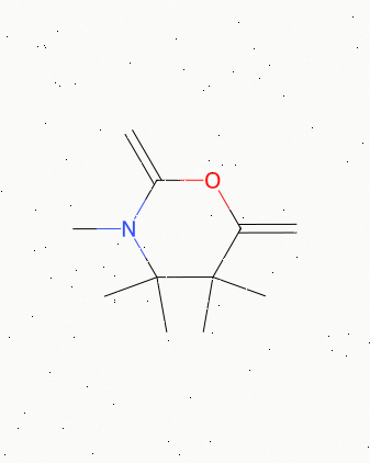 C=C1OC(=C)C(C)(C)C(C)(C)N1C